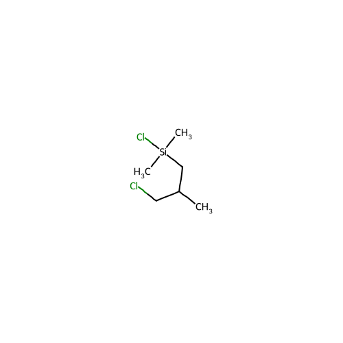 CC(CCl)C[Si](C)(C)Cl